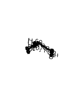 Cc1cc(C(=O)NCCOCCOCCOCCNc2cccc3c2C(=O)N(C2CCC(=O)NC2)C3=O)cc(C)c1-c1cccc2c(CCCOc3cccc4ccccc34)c(C(=O)O)nn12